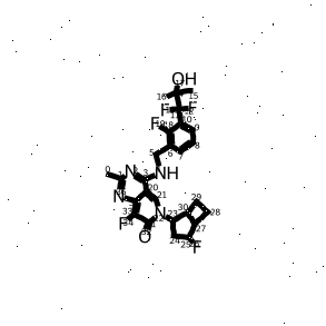 Cc1nc(NCc2cccc(C(F)(F)C(C)(C)O)c2F)c2cn(C3CC(F)C4CCC43)c(=O)c(F)c2n1